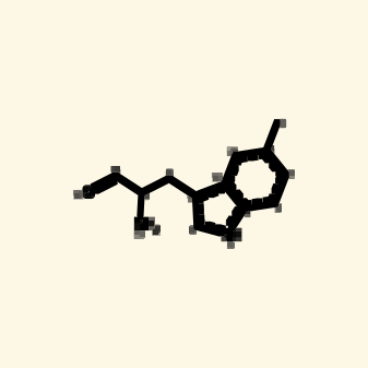 Cc1ccc2[nH]cc(CC(N)C=O)c2c1